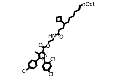 CCCCCCCC/C=C/CCCCC(CCC(=O)NCCOC(=O)c1nn(-c2ccc(Cl)cc2Cl)c(-c2ccc(Cl)cc2)c1C)C1CCC1